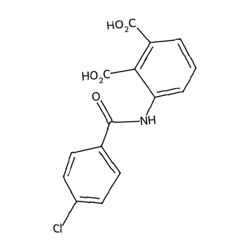 O=C(Nc1cccc(C(=O)O)c1C(=O)O)c1ccc(Cl)cc1